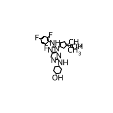 CC(C)(O)[C@@H]1CCC(n2c(Nc3c(F)cc(F)cc3F)nc3cnc(N[C@H]4CC[C@H](O)CC4)nc32)C1